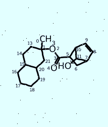 CC1(OC(=O)C2CC3C=CC2C3O)CCC2CCCCC2C1